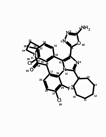 Nc1nnc(-c2nc(C3CCCCCC3)n(-c3c(CC(=O)N4CCC4)ccc(Cl)c3F)c2-c2ccc(F)c(Cl)c2)o1